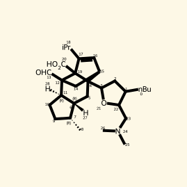 CCCCC1CC(C23C[C@@H]4[C@H](C)CC[C@H]4C4(C=O)CC2C=C(C(C)C)C34C(=O)O)OC1CN(C)C